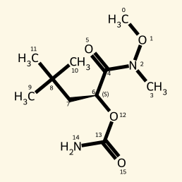 CON(C)C(=O)[C@H](CC(C)(C)C)OC(N)=O